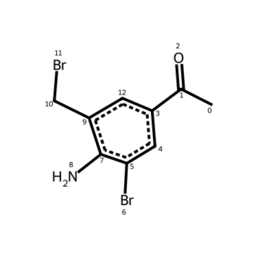 CC(=O)c1cc(Br)c(N)c(CBr)c1